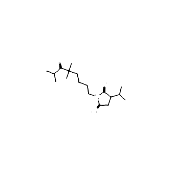 CC(C)C(=O)C(C)(C)CCCCN1C(=O)CC(C(C)C)C1=O